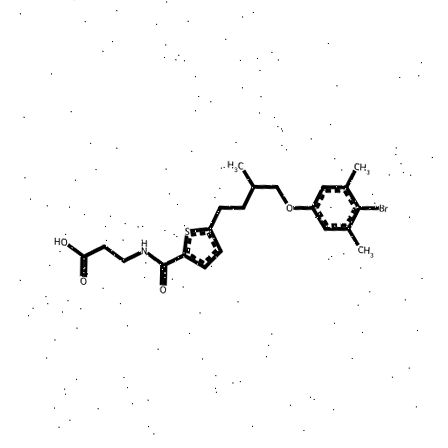 Cc1cc(OCC(C)CCc2ccc(C(=O)NCCC(=O)O)s2)cc(C)c1Br